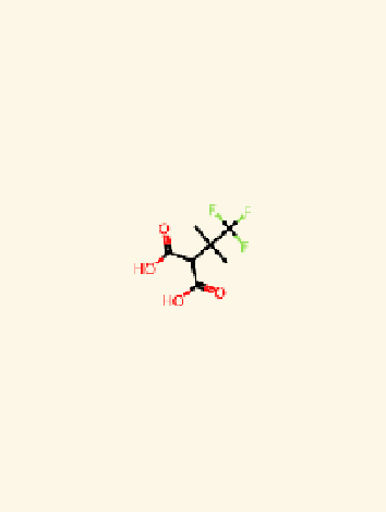 CC(C)(C(C(=O)O)C(=O)O)C(F)(F)F